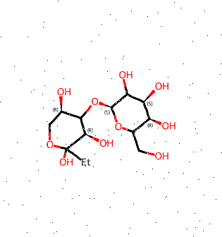 CCC1(O)OC[C@@H](O)C(O[C@@H]2OC(CO)[C@H](O)[C@H](O)C2O)[C@H]1O